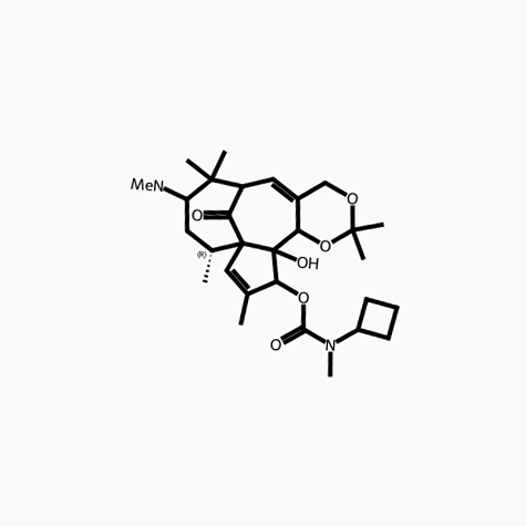 CNC1C[C@@H](C)C23C=C(C)C(OC(=O)N(C)C4CCC4)C2(O)C2OC(C)(C)OCC2=CC(C3=O)C1(C)C